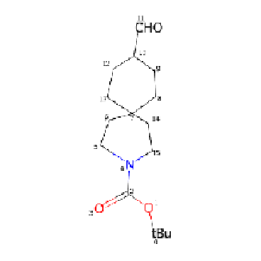 CC(C)(C)OC(=O)N1C[CH]C2(CCC(C=O)CC2)CC1